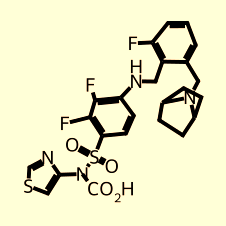 O=C(O)N(c1cscn1)S(=O)(=O)c1ccc(NCc2c(F)cccc2CN2C3CCC2CC3)c(F)c1F